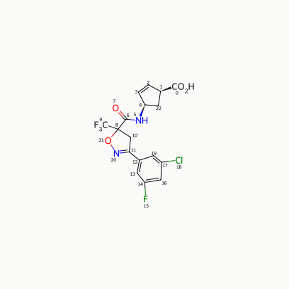 O=C(O)[C@@H]1C=C[C@H](NC(=O)C2(C(F)(F)F)CC(c3cc(F)cc(Cl)c3)=NO2)C1